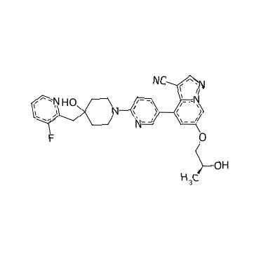 C[C@H](O)COc1cc(-c2ccc(N3CCC(O)(Cc4ncccc4F)CC3)nc2)c2c(C#N)cnn2c1